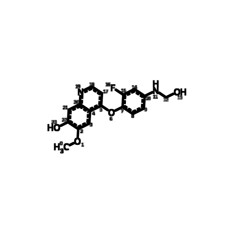 COc1cc2c(Oc3ccc(NCO)cc3F)ccnc2cc1O